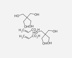 C=CC(=O)O.C=CC(=O)O.OCC(CO)(CO)CO.OCC(CO)(CO)CO